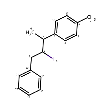 Cc1ccc(C(C)C(I)Cc2ccccc2)cc1